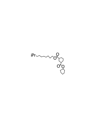 CC(C)CCCCCCCCOC(=O)C1CCCC(C(=O)OC2CCCCC2)C1